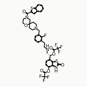 O=C(c1cc2ccccc2s1)N1CCOC2(CCN(Cc3cccc(CCNC[C@H](OC(=O)C(F)(F)F)c4ccc(OC(=O)C(F)(F)F)c5[nH]c(=O)sc45)c3F)CC2)C1